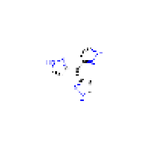 c1cc([BH-](c2cc[nH]n2)c2cc[nH]n2)n[nH]1